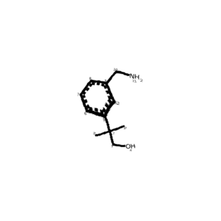 CC(C)(CO)c1cccc(CN)c1